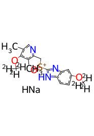 [2H]C([2H])([2H])Oc1ccc2[nH]c([S@@+]([O-])Cc3ncc(C)c(OC([2H])([2H])[2H])c3C)nc2c1.[NaH]